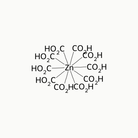 O=[C](O)[Zn]([C](=O)O)([C](=O)O)([C](=O)O)([C](=O)O)([C](=O)O)([C](=O)O)([C](=O)O)([C](=O)O)[C](=O)O